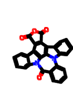 O=c1oc(=O)c2c1c1c3ccccc3n3c(=O)c4ccccc4n4c5ccccc5c2c4c13